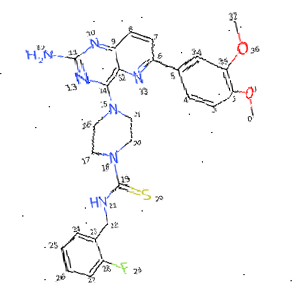 COc1ccc(-c2ccc3nc(N)nc(N4CCN(C(=S)NCc5ccccc5F)CC4)c3n2)cc1OC